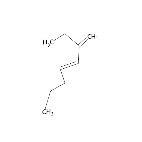 [CH]=C(C=CCCC)CC